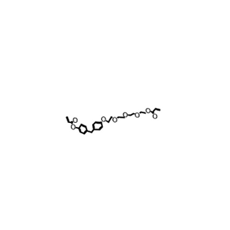 C=CC(=O)OCCOCCOCCOCCOc1ccc(Cc2ccc(OC(=O)C=C)cc2)cc1